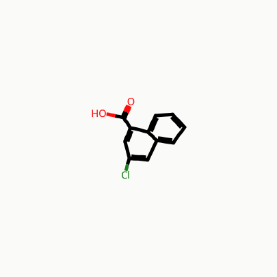 O=C(O)c1cc(Cl)cc2ccccc12